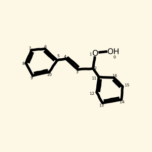 OOC(/C=C/c1ccccc1)c1ccccc1